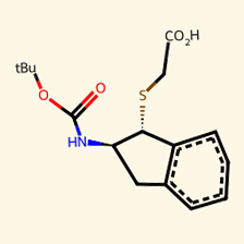 CC(C)(C)OC(=O)N[C@@H]1Cc2ccccc2[C@H]1SCC(=O)O